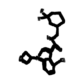 O=C(NCC1CCCC(F)(F)C1)c1cn(C2COC2)c2cccc(Cl)c12